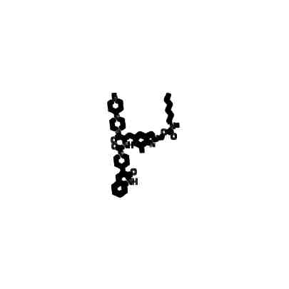 CCCCCCN(C)C(=O)OCn1cc2cc(CC(NC(=O)N3CCC(c4cc5ccccc5[nH]c4=O)CC3)C(=O)N3CCN(C4CCN(C)CC4)CC3)cc(C)c2n1